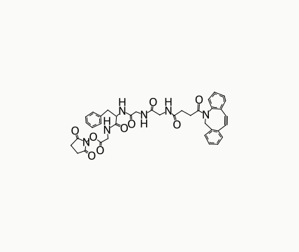 O=C(CCC(=O)N1Cc2ccccc2C#Cc2ccccc21)NCC(=O)NCC(=O)NC(Cc1ccccc1)C(=O)NCC(=O)ON1C(=O)CCC1=O